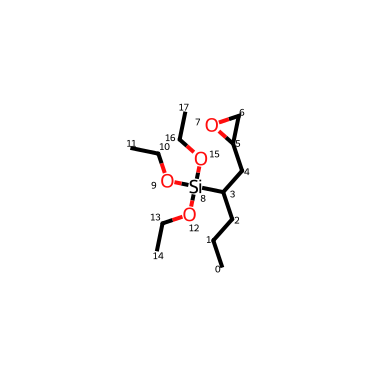 CCCC(CC1CO1)[Si](OCC)(OCC)OCC